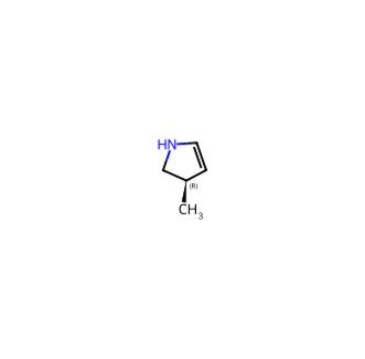 C[C@@H]1C=CNC1